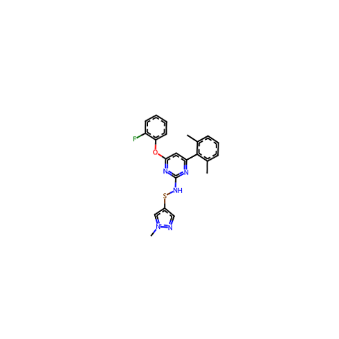 Cc1cccc(C)c1-c1cc(Oc2ccccc2F)nc(NSc2cnn(C)c2)n1